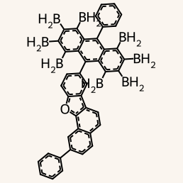 Bc1c(B)c(B)c2c(-c3ccc4oc5c6cc(-c7ccccc7)ccc6ccc5c4c3)c3c(B)c(B)c(B)c(B)c3c(-c3ccccc3)c2c1B